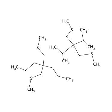 CCCC(CCC)(CSC)CSC.CSCC(CSC)(C(C)C)C(C)C